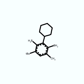 Bc1c(C)cc(C(C)(C)C)c(B)c1C1CCCCC1